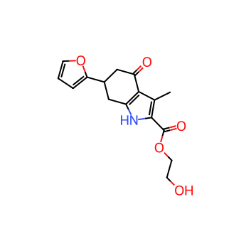 Cc1c(C(=O)OCCO)[nH]c2c1C(=O)CC(c1ccco1)C2